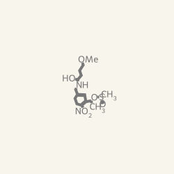 COCCCC(O)NCC1=CC(C(C)OS(C)=O)=C([N+](=O)[O-])CC1